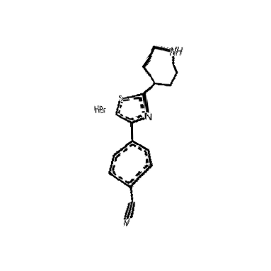 Br.N#Cc1ccc(-c2csc(C3CCNCC3)n2)cc1